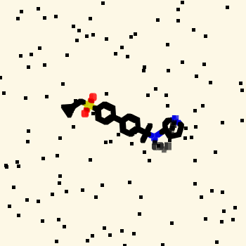 CC(C)(c1ccc(-c2ccc(S(=O)(=O)CC3CC3)cc2)cc1)N(C(=O)O)C1CCN2CCC1CC2